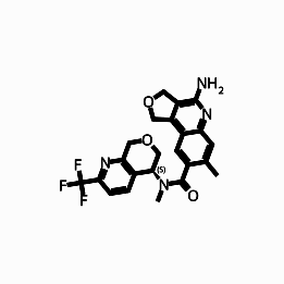 Cc1cc2nc(N)c3c(c2cc1C(=O)N(C)[C@@H]1COCc2nc(C(F)(F)F)ccc21)COC3